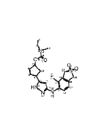 CCN(C)C(=O)OC1CCC(c2cc(Nc3ccc4c(c3F)CS(=O)(=O)C4)n[nH]2)C1